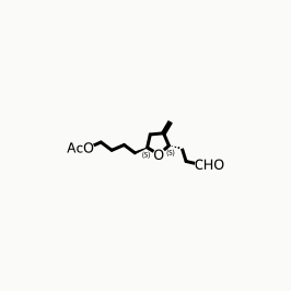 C=C1C[C@H](CCCCOC(C)=O)O[C@H]1CCC=O